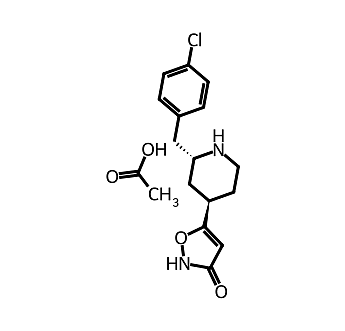 CC(=O)O.O=c1cc([C@@H]2CCN[C@@H](Cc3ccc(Cl)cc3)C2)o[nH]1